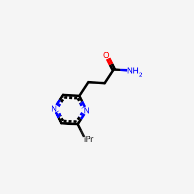 CC(C)c1cncc(CCC(N)=O)n1